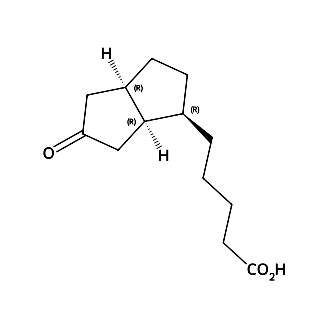 O=C(O)CCCC[C@@H]1CC[C@@H]2CC(=O)C[C@H]12